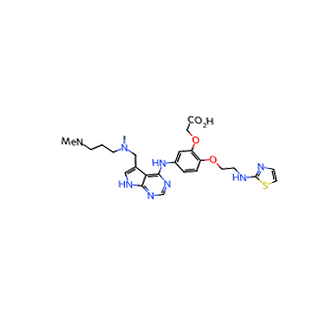 CNCCCN(C)Cc1c[nH]c2ncnc(Nc3ccc(OCCNc4nccs4)c(OCC(=O)O)c3)c12